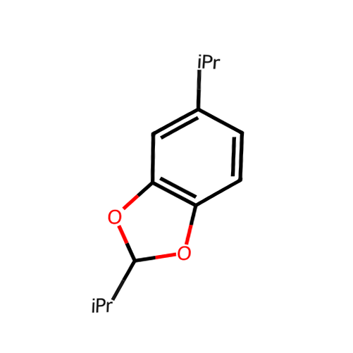 CC(C)c1ccc2c(c1)OC(C(C)C)O2